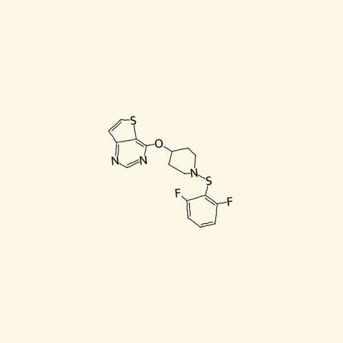 Fc1cccc(F)c1SN1CCC(Oc2ncnc3ccsc23)CC1